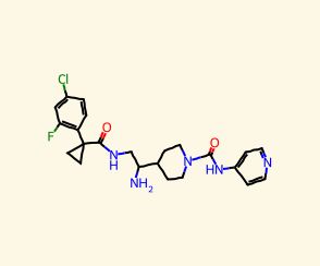 NC(CNC(=O)C1(c2ccc(Cl)cc2F)CC1)C1CCN(C(=O)Nc2ccncc2)CC1